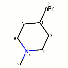 [CH2]CCC1CCN(C)CC1